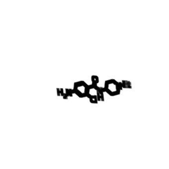 CCN1CCC(NC(=O)c2ccc(N)cc2Cl)CC1